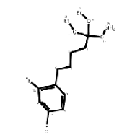 CCOC(CCCCc1ccc(F)cc1F)(O[SiH3])OCC